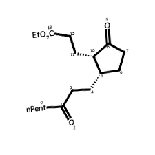 CCCCCC(=O)CC[C@H]1CCC(=O)[C@H]1CCC(=O)OCC